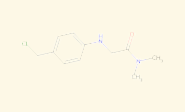 CN(C)C(=O)CNc1ccc(CCl)cc1